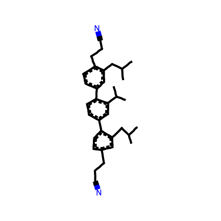 CC(C)Cc1cc(-c2ccc(-c3ccc(CCC#N)cc3CC(C)C)cc2C(C)C)ccc1CCC#N